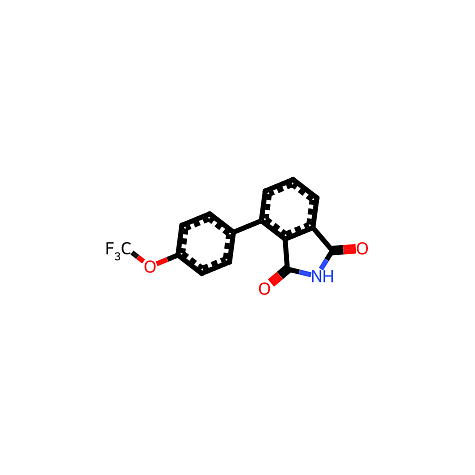 O=C1NC(=O)c2c1cccc2-c1ccc(OC(F)(F)F)cc1